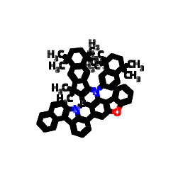 CC1(C)CCC(C)(C)c2cc(N3C4=C(B5c6c(cc7oc8ccccc8c7c63)-c3cccc6c7c8ccccc8ccc7n5c36)C(C)(C)c3cc5c(cc34)C(C)(C)CCC5(C)C)ccc21